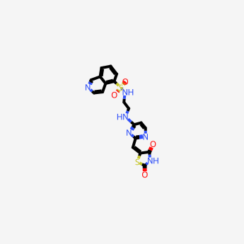 O=C1NC(=O)/C(=C\c2nccc(NCCNS(=O)(=O)c3cccc4cnccc34)n2)S1